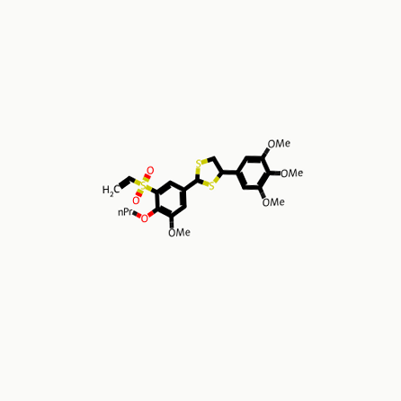 C=CS(=O)(=O)c1cc(C2SCC(c3cc(OC)c(OC)c(OC)c3)S2)cc(OC)c1OCCC